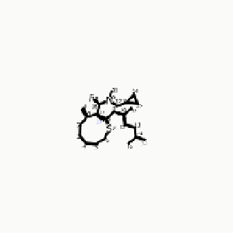 C=C1CCCCCS/C(CC(C)CCC(C)C)=C\1C(F)N(C)CC1CC1